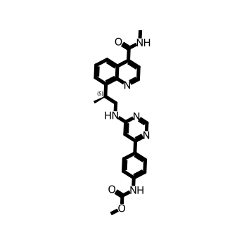 CNC(=O)c1ccnc2c([C@H](C)CNc3cc(-c4ccc(NC(=O)OC)cc4)ncn3)cccc12